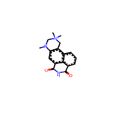 CN1C[N+](C)(C)Cc2c1cc1c3c(cccc23)C(=O)NC1=O